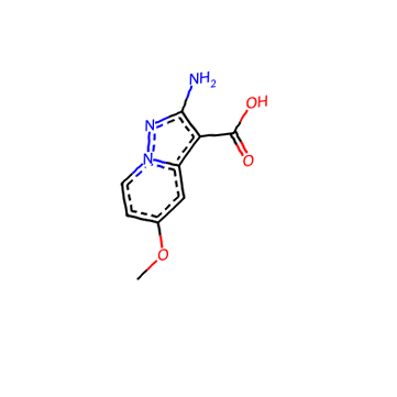 COc1ccn2nc(N)c(C(=O)O)c2c1